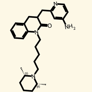 C[C@@H]1CCC[C@H](C)N1CCCCCN1C(=O)C(Cc2cc(N)ccn2)Cc2ccccc21